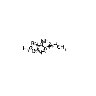 CCC#Cc1cnc(OC)c(Br)c1N